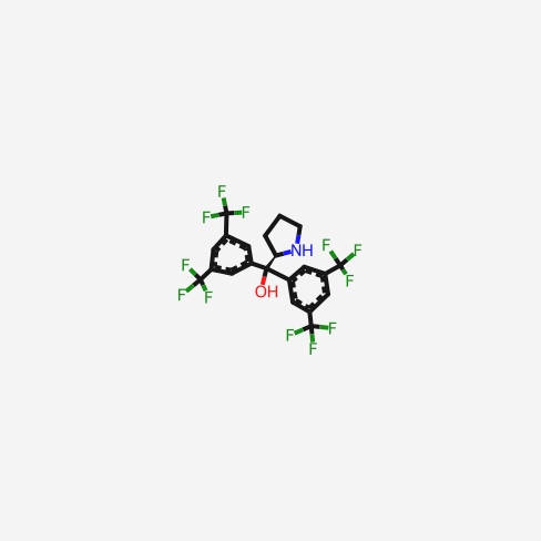 OC(c1cc(C(F)(F)F)cc(C(F)(F)F)c1)(c1cc(C(F)(F)F)cc(C(F)(F)F)c1)[C@H]1CCCN1